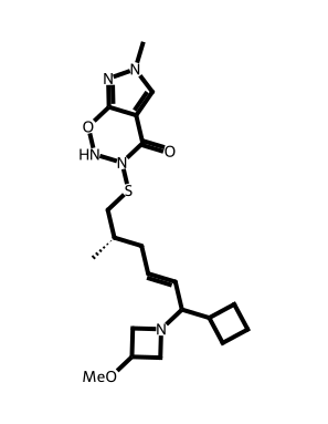 COC1CN(C(/C=C/C[C@H](C)CSN2NOc3nn(C)cc3C2=O)C2CCC2)C1